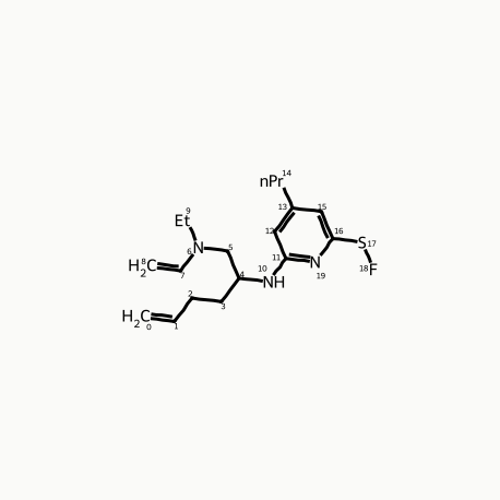 C=CCCC(CN(C=C)CC)Nc1cc(CCC)cc(SF)n1